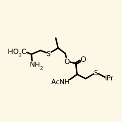 CC(=O)NC(CSC(C)C)C(=O)OCC(C)SCC(N)C(=O)O